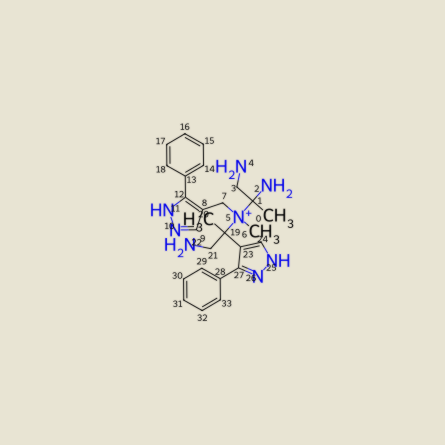 CC(N)(CN)[N+](C)(Cc1cn[nH]c1-c1ccccc1)C(C)(CN)c1c[nH]nc1-c1ccccc1